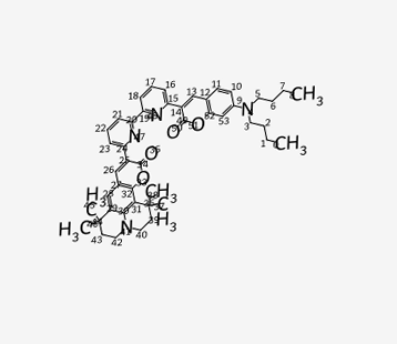 CCCCN(CCCC)c1ccc2cc(-c3cccc(-c4cccc(-c5cc6cc7c8c(c6oc5=O)C(C)(C)CCN8CCC7(C)C)n4)n3)c(=O)oc2c1